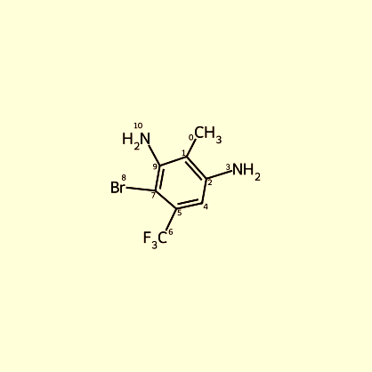 Cc1c(N)cc(C(F)(F)F)c(Br)c1N